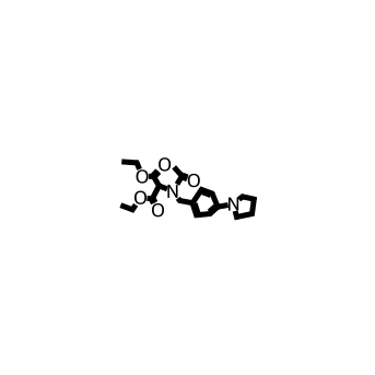 CCOC(=O)C(C(=O)OCC)N(Cc1ccc(N2CCCC2)cc1)C(C)=O